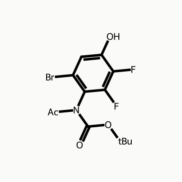 CC(=O)N(C(=O)OC(C)(C)C)c1c(Br)cc(O)c(F)c1F